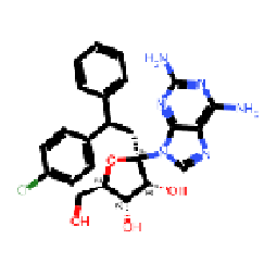 Nc1nc(N)c2ncn([C@]3(CC(c4ccccc4)c4ccc(Cl)cc4)O[C@H](CO)[C@@H](O)[C@H]3O)c2n1